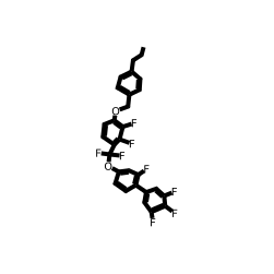 CCCc1ccc(COc2ccc(C(F)(F)Oc3ccc(-c4cc(F)c(F)c(F)c4)c(F)c3)c(F)c2F)cc1